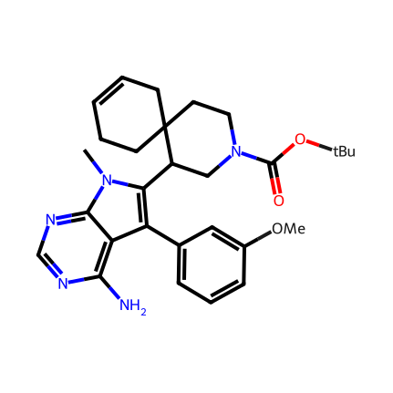 COc1cccc(-c2c(C3CN(C(=O)OC(C)(C)C)CCC34CC=CCC4)n(C)c3ncnc(N)c23)c1